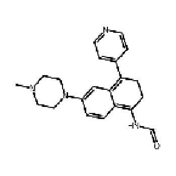 CN1CCN(c2ccc3c(c2)=C(c2ccncc2)CCC=3N[C]=O)CC1